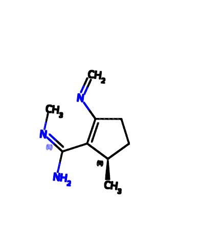 C=NC1=C(/C(N)=N\C)[C@H](C)CC1